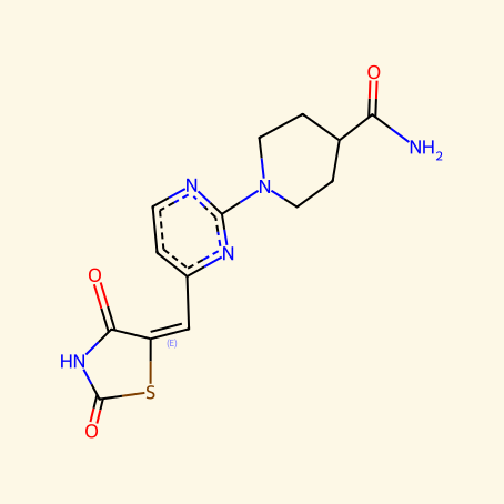 NC(=O)C1CCN(c2nccc(/C=C3/SC(=O)NC3=O)n2)CC1